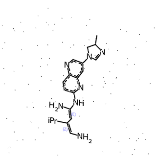 CC1CN(c2cnc3ccc(N/C(N)=C/C(=C\N)C(C)C)nc3c2)C=N1